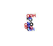 Cn1c(=O)n(C2C(=O)CCNC2=O)c2cccc(C3CCN(C(=O)O)C(C(C)(C)C)C3)c21